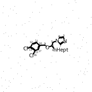 CCCCCCCC(Cn1ccnc1)OCc1ccc(Cl)c(Cl)c1